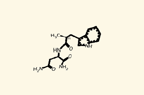 C[C@@H](Cc1c[nH]c2ccccc12)C(=O)NC(CC(N)=O)C(N)=O